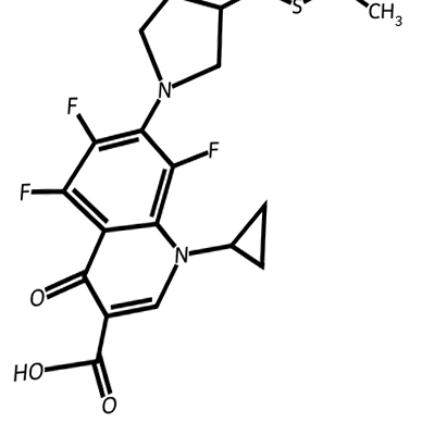 CCSCC1CCN(c2c(F)c(F)c3c(=O)c(C(=O)O)cn(C4CC4)c3c2F)C1